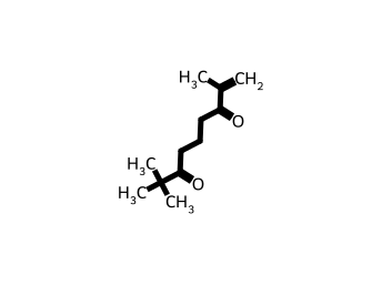 C=C(C)C(=O)CCCC(=O)C(C)(C)C